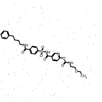 CCOCCNC(=O)Oc1ccc(C(=O)NS(=O)(=O)c2ccc(C(=O)NCCCCc3ccccc3)cc2)cn1